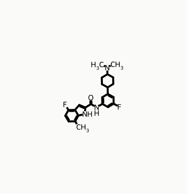 Cc1ccc(F)c2cc(C(=O)Nc3cc(F)cc(C4CCC(N(C)C)CC4)c3)[nH]c12